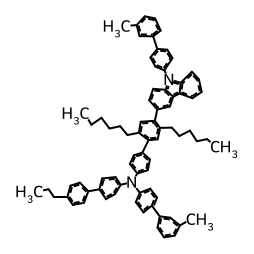 CCCCCCc1cc(-c2ccc3c(c2)c2ccccc2n3-c2ccc(-c3cccc(C)c3)cc2)c(CCCCCC)cc1-c1ccc(N(c2ccc(-c3ccc(CCC)cc3)cc2)c2ccc(-c3cccc(C)c3)cc2)cc1